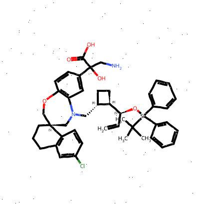 C=C[C@H](O[Si](c1ccccc1)(c1ccccc1)C(C)(C)C)[C@@H]1CC[C@H]1CN1C[C@@]2(CCCc3cc(Cl)ccc32)COc2ccc(C(O)(CN)C(=O)O)cc21